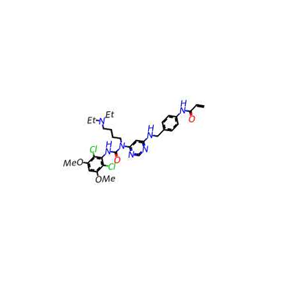 C=CC(=O)Nc1ccc(CNc2cc(N(CCCCN(CC)CC)C(=O)Nc3c(Cl)c(OC)cc(OC)c3Cl)ncn2)cc1